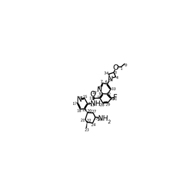 CCOC1CN(c2cnc3c(C(=O)Nc4cnccc4[C@@H]4C[C@H](C)C[C@H](N)C4)ccc(F)c3c2)C1